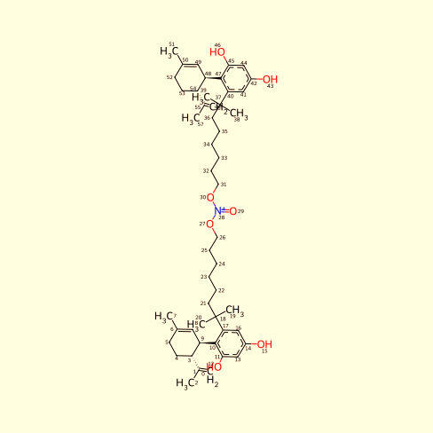 C=C(C)[C@@H]1CCC(C)=C[C@H]1c1c(O)cc(O)cc1C(C)(C)CCCCCCO[N+](=O)OCCCCCCC(C)(C)c1cc(O)cc(O)c1[C@@H]1C=C(C)CC[C@H]1C(=C)C